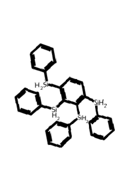 [c]1cc([SiH2]c2ccccc2)c([SiH2]c2ccccc2)c([SiH2]c2ccccc2)c1[SiH2]c1ccccc1